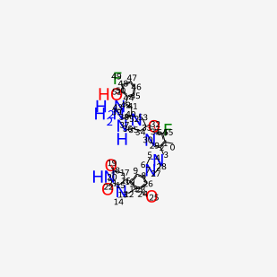 Cc1c(CN2CCN(c3ccc(CN(C)C4CCC(=O)NC4=O)c(C=O)c3)CC2)cnc(OC2CC3CNC(N)=C(/C=C(\N)c4cccc(F)c4O)N3C2)c1F